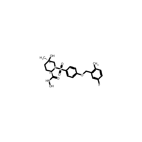 Cc1ccc(F)cc1COc1ccc(S(=O)(=O)N2C[C@](C)(O)CC[C@@H]2C(=O)NO)cc1